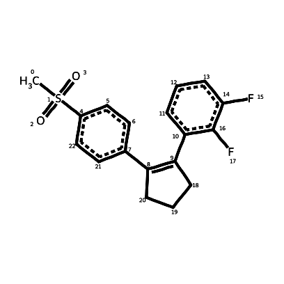 CS(=O)(=O)c1ccc(C2=C(c3cccc(F)c3F)CCC2)cc1